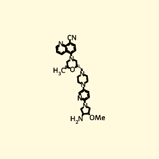 COC1CN(c2ccc(N3CCN(C[C@H]4CN(c5ccc(C#N)c6ncccc56)C[C@@H](C)O4)CC3)cn2)CC1N